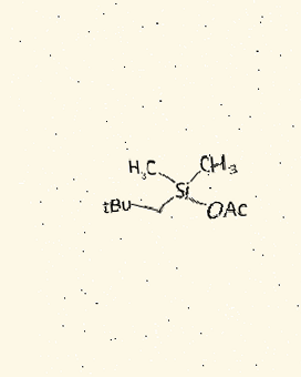 CC(=O)O[Si](C)(C)CC(C)(C)C